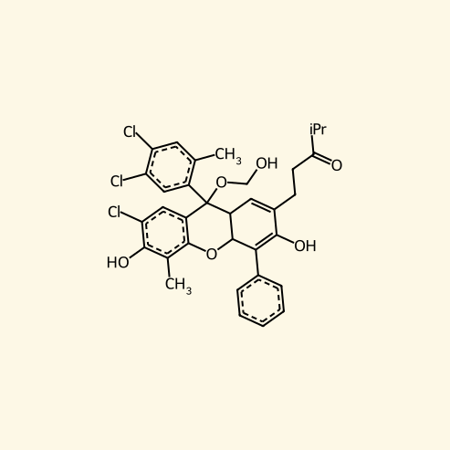 Cc1cc(Cl)c(Cl)cc1C1(OCO)c2cc(Cl)c(O)c(C)c2OC2C(c3ccccc3)=C(O)C(CCC(=O)C(C)C)=CC21